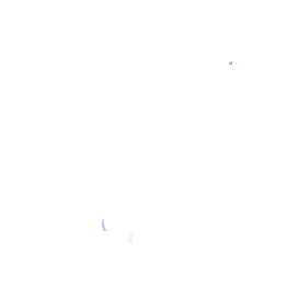 CCc1cc(CCCOc2c(C)cc(-c3noc(C4CC4)n3)cc2C)on1